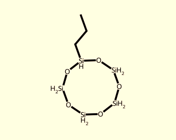 CCC[SiH]1O[SiH2]O[SiH2]O[SiH2]O[SiH2]O1